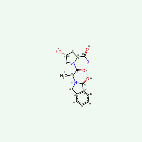 C[C@@H](C(=O)N1C[C@H](O)C[C@H]1C(=O)I)N1Cc2ccccc2C1=O